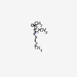 CCCCC/C=C(\CCC)COC(C)=O